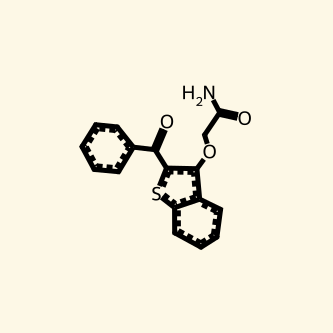 NC(=O)COc1c(C(=O)c2ccccc2)sc2ccccc12